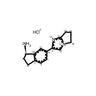 Cl.N[C@@H]1CCc2ccc(-c3cn4c(n3)CCC4)cc21